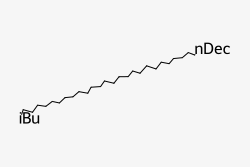 [CH2]CCCCCCCCCCCCCCCCCCCCCCCCCCCCCCCCCCCC(C)CC